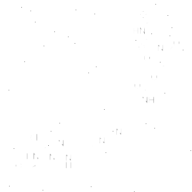 O=C(COc1cccc2c1C(=O)N(C1CCC(=O)NC1=O)C2=O)NCCCCN1CCN(c2ccc(Nc3ncc(Cl)c(NC[C@H]4CCCO4)n3)cc2)CC1